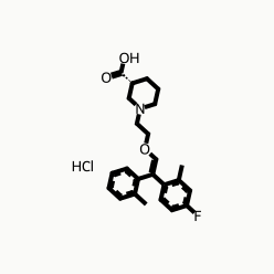 Cc1ccccc1/C(=C\OCCN1CCC[C@@H](C(=O)O)C1)c1ccc(F)cc1C.Cl